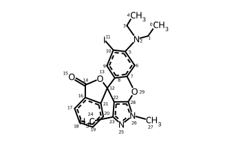 CCN(CC)c1cc2c(cc1I)C1(OC(=O)c3ccccc31)c1c(C)nn(C)c1O2